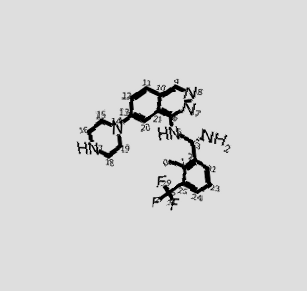 Cc1c([C@@H](N)Nc2nncc3ccc(N4CCNCC4)cc23)cccc1C(F)(F)F